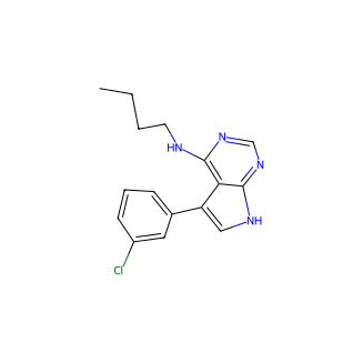 CCCCNc1ncnc2[nH]cc(-c3cccc(Cl)c3)c12